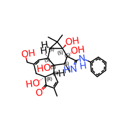 CC1=C[C@H]2[C@]3(O)[C@@H](C=C(CO)C[C@]2(O)C1=O)[C@H]1C(C)(C)[C@]1(O)[C@@](O)(C(=N)Nc1ccccc1)[C@H]3C